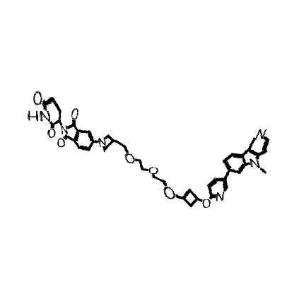 Cn1c2ccncc2c2ccc(-c3ccc(OC4CC(OCCOCCOCC5CN(c6ccc7c(c6)C(=O)N(C6CCC(=O)NC6=O)C7=O)C5)C4)nc3)cc21